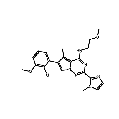 COCCNc1nc(-c2nccn2C)nn2cc(-c3cccc(OC)c3Cl)c(C)c12